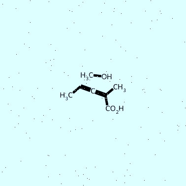 CC=C=C(C)C(=O)O.CO